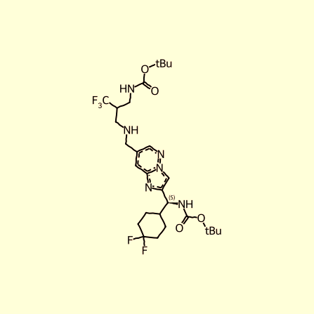 CC(C)(C)OC(=O)NCC(CNCc1cnn2cc([C@@H](NC(=O)OC(C)(C)C)C3CCC(F)(F)CC3)nc2c1)C(F)(F)F